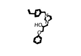 C=Cc1ccc(CN2C=CN(CC(O)COc3ccccc3)C2)cc1